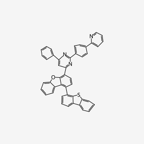 c1ccc(-c2cc(-c3ccc(-c4cccc5c4sc4ccccc45)c4c3oc3ccccc34)nc(-c3ccc(-c4ccccn4)cc3)n2)cc1